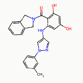 Cc1cccc(-n2cc(Nc3cc(O)cc(O)c3C(=O)N3Cc4ccccc4C3)cn2)c1